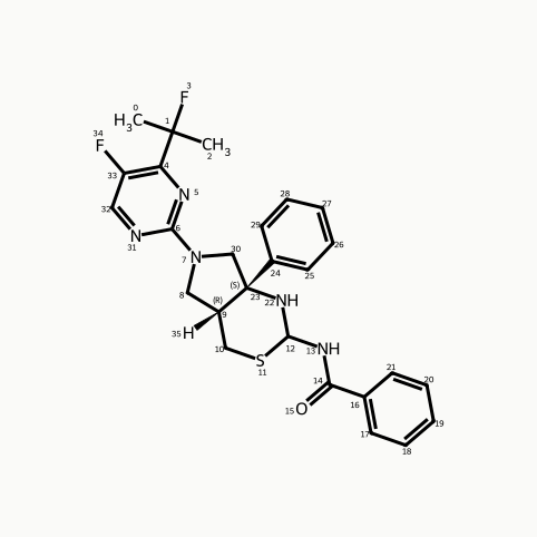 CC(C)(F)c1nc(N2C[C@H]3CSC(NC(=O)c4ccccc4)N[C@@]3(c3ccccc3)C2)ncc1F